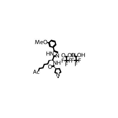 COc1cccc(-c2cnc([C@H](CCCCCC(C)=O)NC(=O)[C@H]3CCN(C)C3)[nH]2)c1.O=C(O)C(F)(F)F.O=C(O)C(F)(F)F